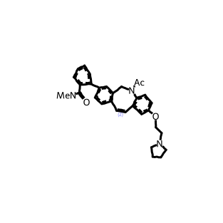 CNC(=O)c1ccccc1-c1ccc2c(c1)CN(C(C)=O)c1ccc(OCCN3CCCC3)cc1/C=C\2